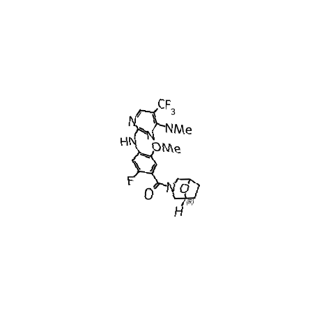 CNc1nc(Nc2cc(F)c(C(=O)N3CC4CC[C@H](C3)O4)cc2OC)ncc1C(F)(F)F